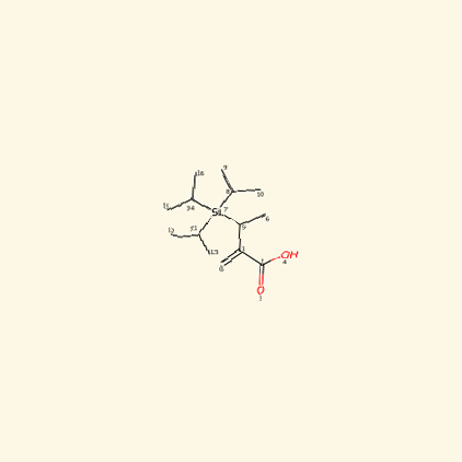 C=C(C(=O)O)C(C)[Si](C(C)C)(C(C)C)C(C)C